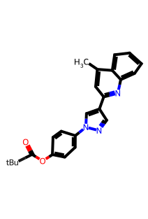 Cc1cc(-c2cnn(-c3ccc(OC(=O)C(C)(C)C)cc3)c2)nc2ccccc12